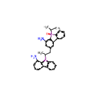 CC(Cc1cc(N)c2c(c1)-c1ccccc1P2(=O)C(C)C)p1c2ccccc2c2cccc(N)c21